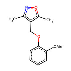 COc1ccccc1OCc1c(C)noc1C